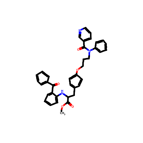 COC(=O)C(Cc1ccc(OCCCN(C(=O)c2cccnc2)c2ccccc2)cc1)Nc1ccccc1C(=O)c1ccccc1